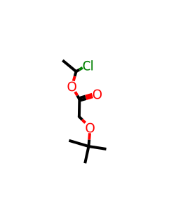 CC(Cl)OC(=O)COC(C)(C)C